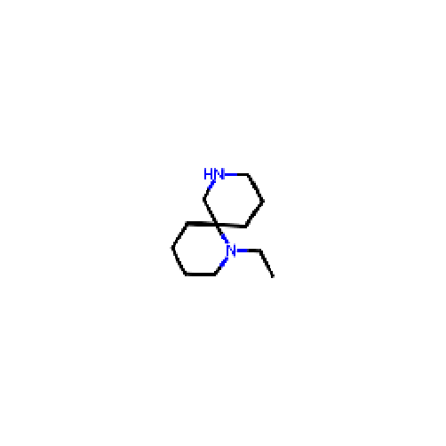 CCN1CCCCC12CCCNC2